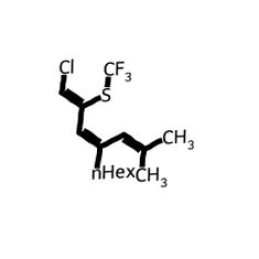 CCCCCC/C(C=C(C)C)=C/C(=C/Cl)SC(F)(F)F